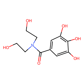 O=C(c1cc(O)c(O)c(O)c1)N(CCO)CCO